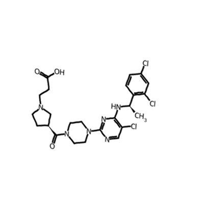 C[C@@H](Nc1nc(N2CCN(C(=O)[C@H]3CCN(CCC(=O)O)C3)CC2)ncc1Cl)c1ccc(Cl)cc1Cl